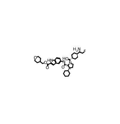 N[C@H](CF)[C@H]1CC[C@H](C(=O)N2CC[C@@H](C3CCCCC3)[C@H]2C(=O)Nc2ccc3[nH]c(C(=O)OCC4CCOCC4)cc3c2)CC1